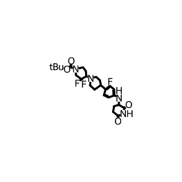 CC(C)(C)OC(=O)N1CCC(N2CCC(c3ccc(NC4CCC(=O)NC4=O)cc3F)CC2)C(F)(F)C1